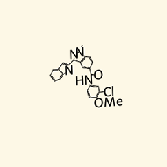 COc1ccc(NC(=O)c2ccc3c(c2)c(-c2cc4ccccc4n2C)nn3C)cc1Cl